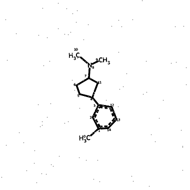 Cc1[c]c(C2CCC(N(C)C)C2)ccc1